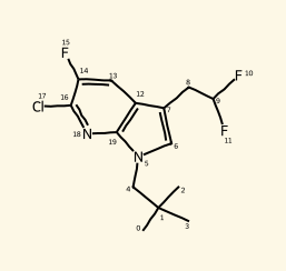 CC(C)(C)Cn1cc(CC(F)F)c2cc(F)c(Cl)nc21